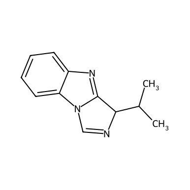 CC(C)C1N=Cn2c1nc1ccccc12